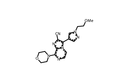 COCCn1cc(-c2c(C#N)nc3c(N4CCOCC4)nccn23)cn1